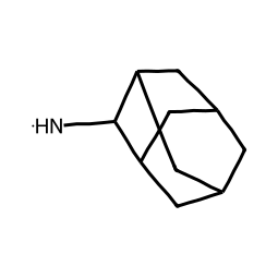 [NH]C1C2CC3CC(C2)CC1C3